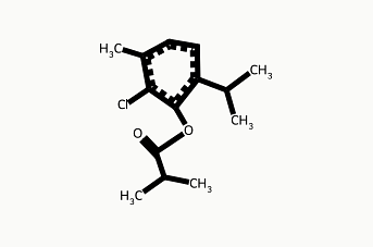 Cc1ccc(C(C)C)c(OC(=O)C(C)C)c1Cl